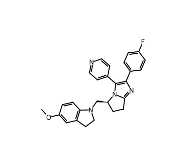 COc1ccc2c(c1)CCN2C[C@@H]1CCc2nc(-c3ccc(F)cc3)c(-c3ccncc3)n21